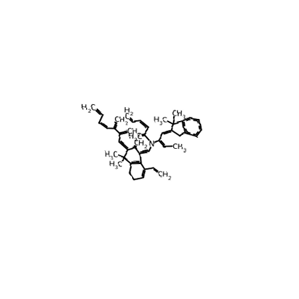 C=C/C=C\C(=C)C(=C)/C=C1\C(=C)/C(=C\N(C(=C)/C=C\C=C)C(=C/C)/C=C2\Cc3ccccc3C2(C)C)C2=C(CCC=C2C=C)C1(C)C